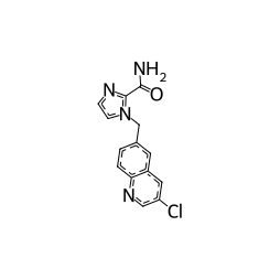 NC(=O)c1nccn1Cc1ccc2ncc(Cl)cc2c1